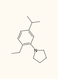 CCc1ccc(C(C)C)cc1N1CCCC1